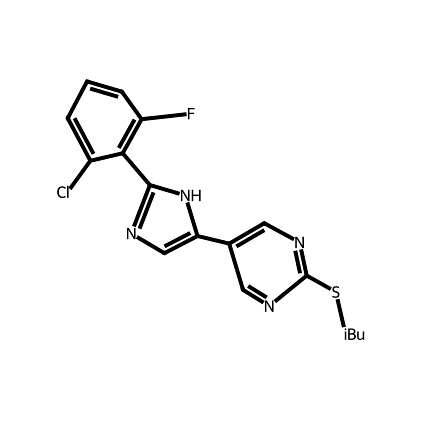 CCC(C)Sc1ncc(-c2cnc(-c3c(F)cccc3Cl)[nH]2)cn1